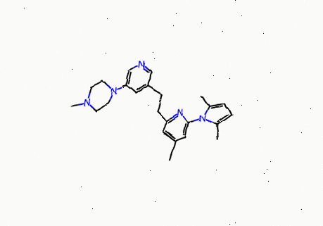 Cc1cc(CCc2cncc(N3CCN(C)CC3)c2)nc(-n2c(C)ccc2C)c1